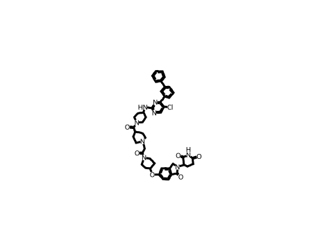 O=C1CCC(N2Cc3cc(OC4CCN(C(=O)CN5CCC(C(=O)N6CCC(Nc7ncc(Cl)c(-c8cccc(-c9ccccc9)c8)n7)CC6)CC5)CC4)ccc3C2=O)C(=O)N1